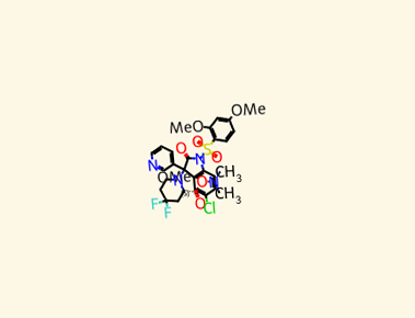 COc1ccc(S(=O)(=O)N2C(=O)C(c3cccnc3OC)(N3CCC(F)(F)C[C@H]3C(=O)ON(C)C)c3cc(Cl)ccc32)c(OC)c1